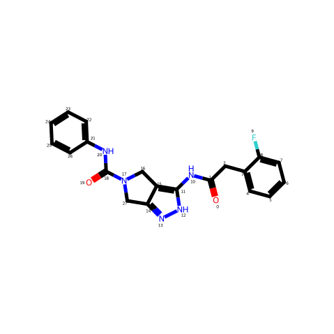 O=C(Cc1ccccc1F)Nc1[nH]nc2c1CN(C(=O)Nc1ccccc1)C2